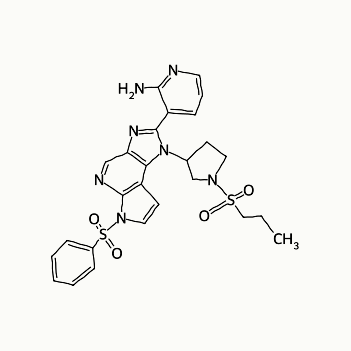 CCCS(=O)(=O)N1CCC(n2c(-c3cccnc3N)nc3cnc4c(ccn4S(=O)(=O)c4ccccc4)c32)C1